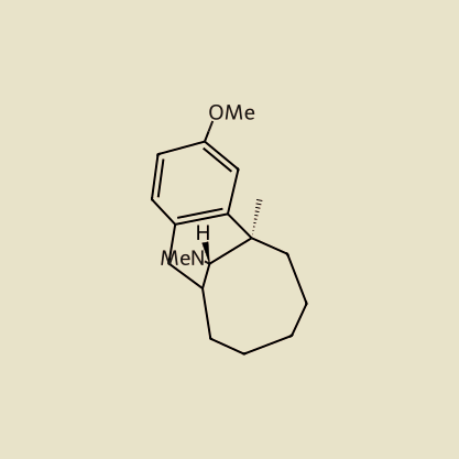 CN[C@H]1C2CCCCC[C@]1(C)c1cc(OC)ccc1C2